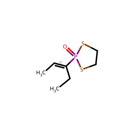 C/C=C(\CC)P1(=O)SCCS1